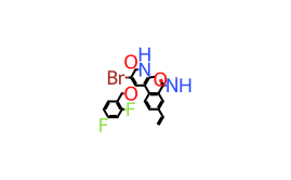 C=Cc1ccc(-c2c(C)[nH]c(=O)c(Br)c2OCc2ccc(F)cc2F)c(C(=O)NC)c1